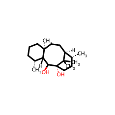 C[C@@H]1CCC[C@@]2(C)CC[C@H]3[C@H](C)CC[C@@](O)(C(O)[C@H]12)C3(C)C